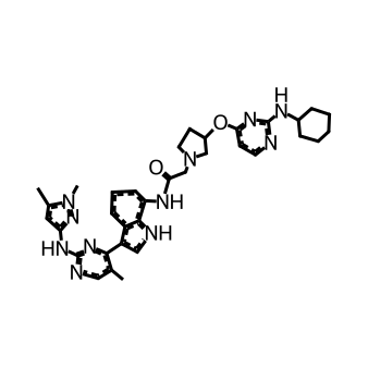 Cc1cnc(Nc2cc(C)n(C)n2)nc1-c1c[nH]c2c(NC(=O)CN3CCC(Oc4ccnc(NC5CCCCC5)n4)C3)cccc12